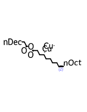 CCCCCCCC/C=C\CCCCCCCC(=O)OC(=O)CCCCCCCCCCC.[Cu].[Cu]